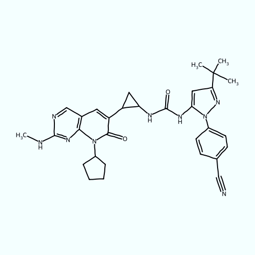 CNc1ncc2cc(C3CC3NC(=O)Nc3cc(C(C)(C)C)nn3-c3ccc(C#N)cc3)c(=O)n(C3CCCC3)c2n1